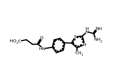 Cc1nc(NC(=N)N)sc1-c1ccc(NC(=O)CCC(=O)O)cc1